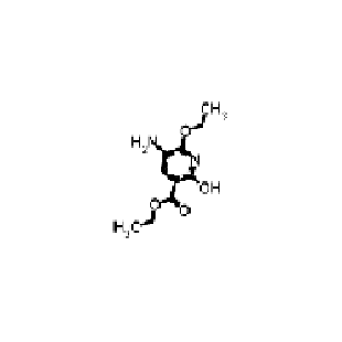 CCOC(=O)c1cc(N)c(OCC)nc1O